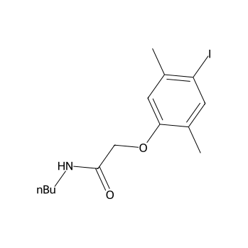 CCCCNC(=O)COc1cc(C)c(I)cc1C